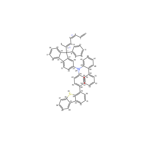 C=C/C=C\C=C(/C)C1(c2ccccc2)c2ccccc2-c2ccc(N(c3ccc(-c4cccc5c4sc4ccccc45)cc3)c3ccccc3-c3ccccc3)cc21